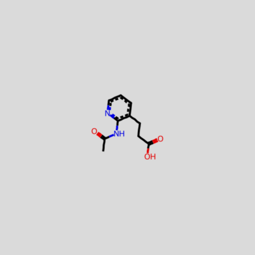 CC(=O)Nc1ncccc1CCC(=O)O